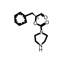 O=[C][C@H](Cc1ccccc1)OC(=O)N1CCNCC1